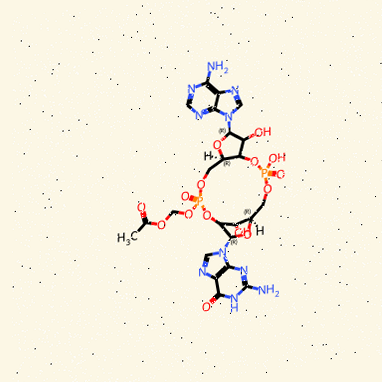 CC(=O)OCOP1(=O)OC[C@H]2O[C@@H](n3cnc4c(N)ncnc43)C(O)C2OP(=O)(O)OC[C@H]2O[C@@H](n3cnc4c(=O)[nH]c(N)nc43)C(O1)C2O